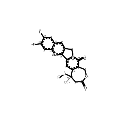 CCO[C@]1(CC)CC(=O)OCc2c1cc1n(c2=O)Cc2cc3cc(F)c(F)cc3nc2-1